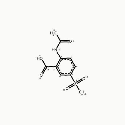 CC(=O)Nc1ccc(S(C)(=O)=O)cc1C(=O)O